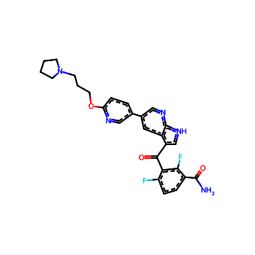 NC(=O)c1ccc(F)c(C(=O)c2c[nH]c3ncc(-c4ccc(OCCCN5CCCC5)nc4)cc23)c1F